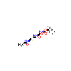 CCC(=O)NCCSCCNC(=O)CONC(=O)OC(C)(C)C